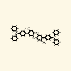 Cc1cc2c(cc1-c1ccc(N(c3ccccc3)c3ccccc3)cc1)Sc1cc(C)c(-c3ccc(N(c4ccccc4)c4ccccc4)cc3)cc1S2